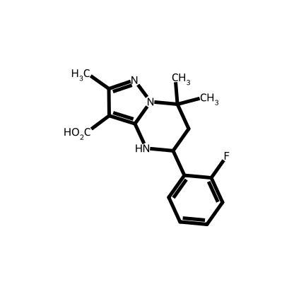 Cc1nn2c(c1C(=O)O)NC(c1ccccc1F)CC2(C)C